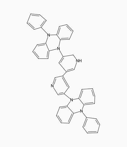 C1=C(c2cncc(N3c4ccccc4N(c4ccccc4)c4ccccc43)c2)C=C(N2c3ccccc3N(c3ccccc3)c3ccccc32)CN1